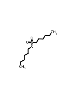 CCCCCCSS(=O)(=O)CCCCCC